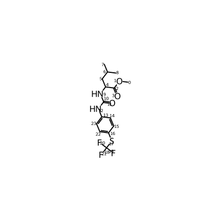 COC(=O)C(CC(C)C)NC(=O)Nc1ccc(SC(F)(F)F)cc1